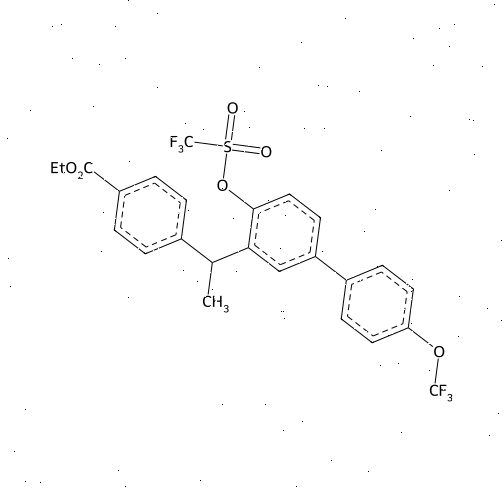 CCOC(=O)c1ccc(C(C)c2cc(-c3ccc(OC(F)(F)F)cc3)ccc2OS(=O)(=O)C(F)(F)F)cc1